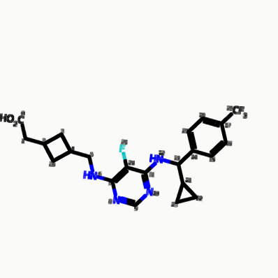 O=C(O)CC1CC(CNc2ncnc(NC(c3ccc(C(F)(F)F)cc3)C3CC3)c2F)C1